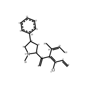 C=C/C(Cl)=C(C(=C)C1CC(c2ccccc2)CN1C)\C(C)=C/C